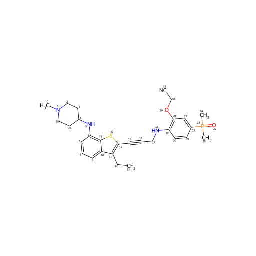 CN1CCC(Nc2cccc3c(CC(F)(F)F)c(C#CCNc4ccc(P(C)(C)=O)cc4OCC#N)sc23)CC1